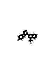 Cc1ccc2c(c1)sc1c(-c3cc(C(C)(C)C)c4ccccc4c3)nccc12